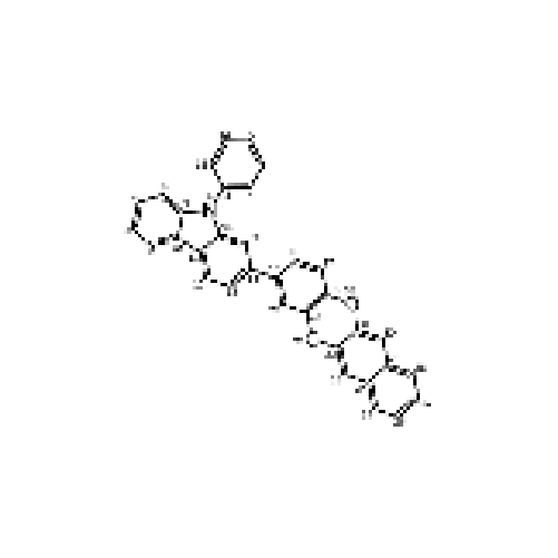 c1ccc(-n2c3ccccc3c3ccc(-c4ccc5c(c4)Oc4cc6ccccc6cc4O5)cc32)cc1